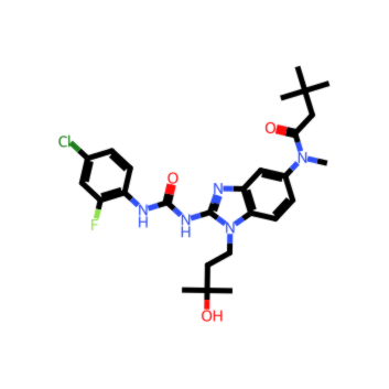 CN(C(=O)CC(C)(C)C)c1ccc2c(c1)nc(NC(=O)Nc1ccc(Cl)cc1F)n2CCC(C)(C)O